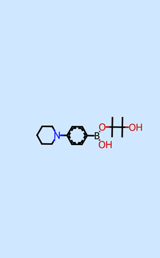 CC(C)(O)C(C)(C)OB(O)c1ccc(N2CCCCC2)cc1